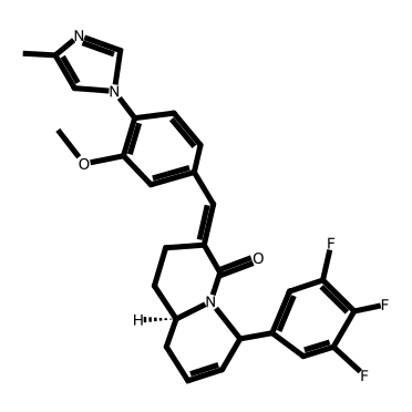 COc1cc(C=C2CC[C@@H]3CC=CC(c4cc(F)c(F)c(F)c4)N3C2=O)ccc1-n1cnc(C)c1